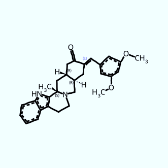 COc1cc(/C=C2\C[C@H]3CN4CCc5c([nH]c6ccccc56)[C@]4(C)C[C@@H]3CC2=O)cc(OC)c1